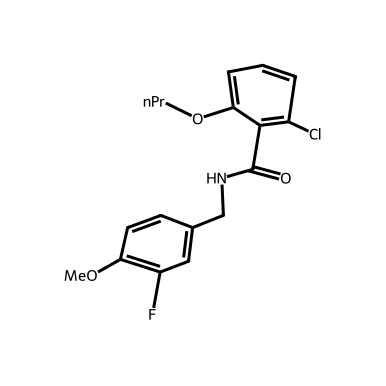 CCCOc1cccc(Cl)c1C(=O)NCc1ccc(OC)c(F)c1